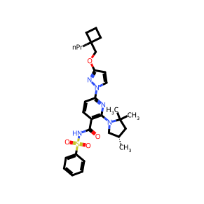 CCCC1(COc2ccn(-c3ccc(C(=O)NS(=O)(=O)c4ccccc4)c(N4C[C@@H](C)CC4(C)C)n3)n2)CCC1